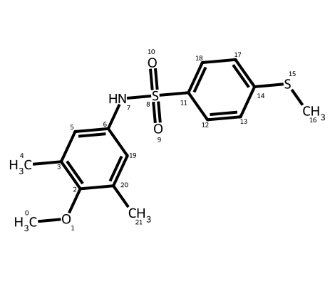 COc1c(C)cc(NS(=O)(=O)c2ccc(SC)cc2)cc1C